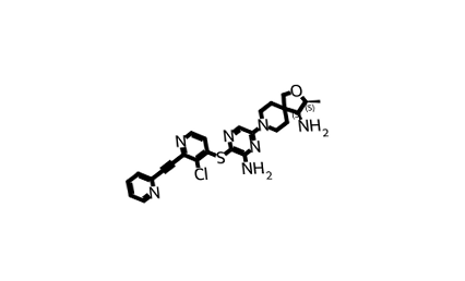 C[C@@H]1OCC2(CCN(c3cnc(Sc4ccnc(C#Cc5ccccn5)c4Cl)c(N)n3)CC2)[C@@H]1N